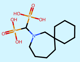 O=P(O)(O)C(N1CCCCC2(CCCCC2)C1)P(=O)(O)O